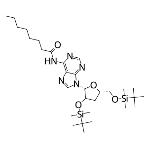 CCCCCCCC(=O)Nc1ncnc2c1ncn2[C@@H]1O[C@H](CO[Si](C)(C)C(C)(C)C)CC1O[Si](C)(C)C(C)(C)C